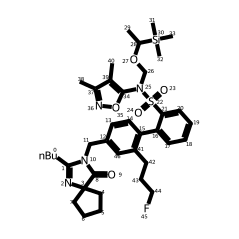 CCCCC1=NC2(CCCC2)C(=O)N1Cc1ccc(-c2ccccc2S(=O)(=O)N(COC(C)[Si](C)(C)C)c2onc(C)c2C)c(CCCF)c1